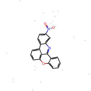 O=[N+]([O-])c1ccc2c(c1)nc1c3c(cccc32)Oc2ccccc2-1